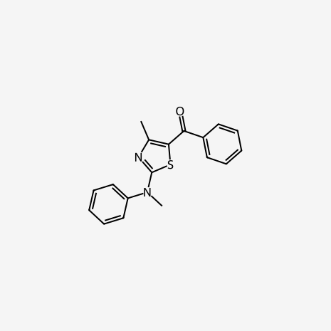 Cc1nc(N(C)c2ccccc2)sc1C(=O)c1ccccc1